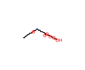 CCCCCCCCCOCC/C=C\CCCCCCC(=O)OCCOCCOCCO